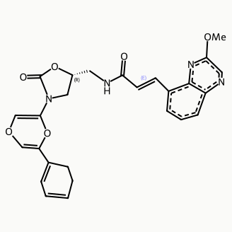 COc1cnc2cccc(/C=C/C(=O)NC[C@@H]3CN(C4=COC=C(C5=CC=CCC5)O4)C(=O)O3)c2n1